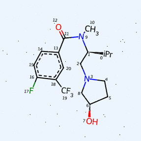 CC(C)[C@@H](CN1CC[C@@H](O)C1)N(C)C(=O)c1ccc(F)c(C(F)(F)F)c1